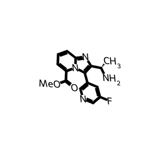 COC(=O)c1cccc2nc([C@H](C)N)c(-c3cncc(F)c3)n12